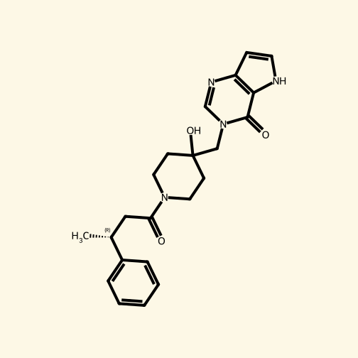 C[C@H](CC(=O)N1CCC(O)(Cn2cnc3cc[nH]c3c2=O)CC1)c1ccccc1